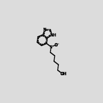 [O-][S+](CCCCCO)c1cccc2nc[nH]c12